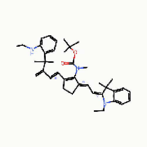 C=C(/C=C/C1=C(N(C)C(=O)OC(C)(C)C)C(=C/C=C2/N(CC)c3ccccc3C2(C)C)/CC1)C(C)(C)c1ccccc1NCC